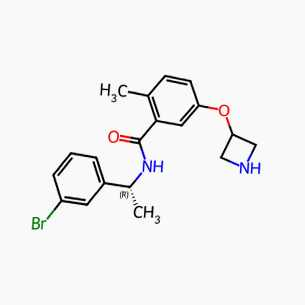 Cc1ccc(OC2CNC2)cc1C(=O)N[C@H](C)c1cccc(Br)c1